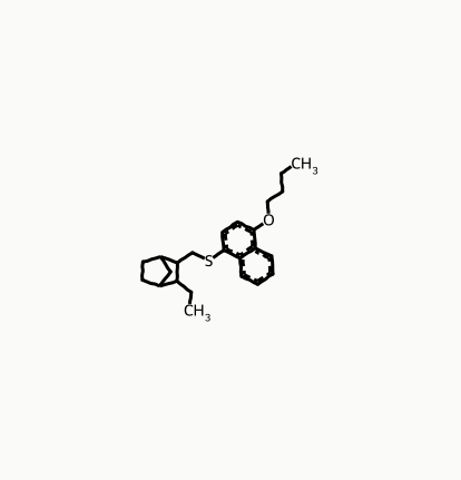 CCCCOc1ccc(SCC2C3CCC(C3)C2CC)c2ccccc12